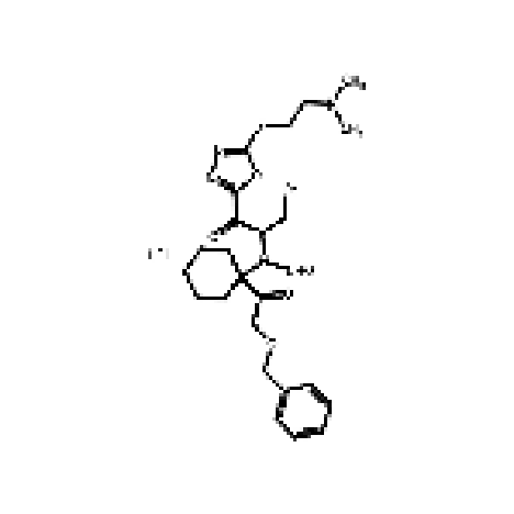 CC(C)CC(C(=O)c1nnc(SCCN(C)C)o1)N(C=O)C1(C(=O)COCc2ccccc2)CCCCC1.Cl